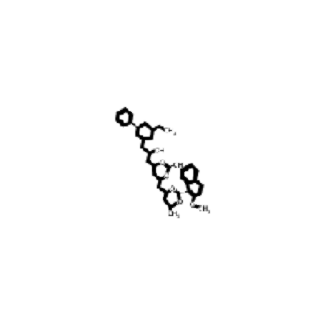 CCC1CC(CC(O)CC2CC(CC3CC(C)O[C@@H](c4c(OC)ccc5ccccc45)O3)O[C@@H](C)O2)C[C@@H](c2ccccc2)C1